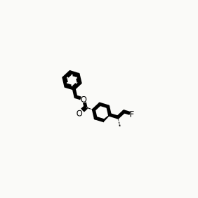 C[C@@H](CF)[C@H]1CC[C@H](C(=O)OCc2ccccc2)CC1